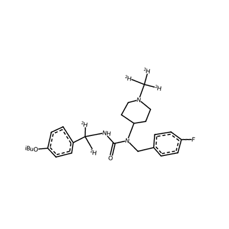 [2H]C([2H])(NC(=O)N(Cc1ccc(F)cc1)C1CCN(C([2H])([2H])[2H])CC1)c1ccc(OCC(C)C)cc1